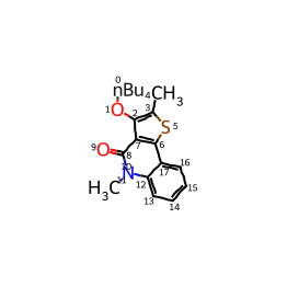 CCCCOc1c(C)sc2c1c(=O)n(C)c1ccccc21